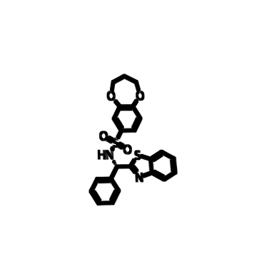 O=S(=O)(N[C@@H](c1ccccc1)c1nc2ccccc2s1)c1ccc2c(c1)OCCCO2